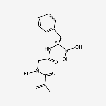 C=C(C)C(=O)N(CC)CC(=O)N[C@@H](Cc1ccccc1)B(O)O